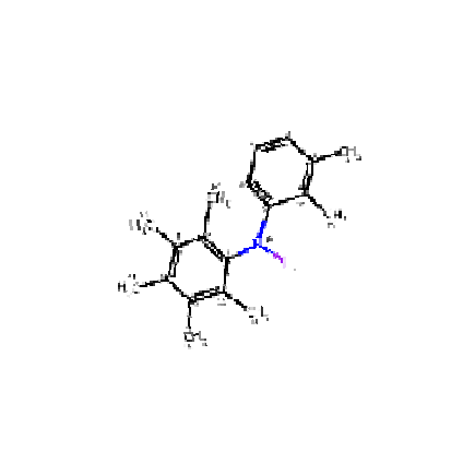 Cc1cccc(N(I)c2c(C)c(C)c(C)c(C)c2C)c1C